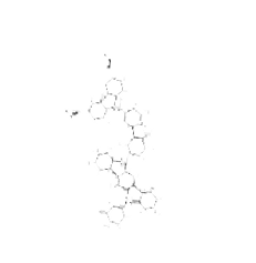 N#Cc1ccc2c(c1)c1cc(C#N)ccc1n2-c1ccc2oc3ccc(-n4c5ccccc5c5cc6c(cc54)c4ccccc4n6-c4ccccc4)cc3c2c1